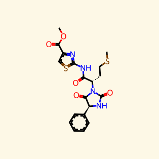 COC(=O)c1csc(NC(=O)[C@H](CCSC)N2C(=O)N[C@@H](c3ccccc3)C2=O)n1